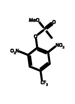 COP(C)(=O)Oc1c([N+](=O)[O-])cc(C(F)(F)F)cc1[N+](=O)[O-]